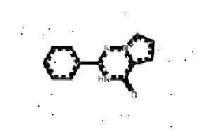 O=c1[nH]c(-c2ccccc2)nn2cccc12